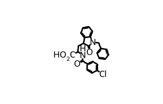 O=C(NC(CC1C(=O)N(Cc2ccccc2)c2ccccc21)C(=O)O)c1ccc(Cl)cc1